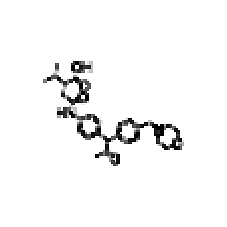 CC(=O)C(c1ccc(CN2CCOCC2)cc1)c1ccc(NC(=O)CC(C(=O)O)C(C)C)cc1